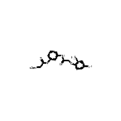 CCCCCCCCCCCC(=O)Nc1cccc(NC(=O)COc2ccc(O)cc2N)c1